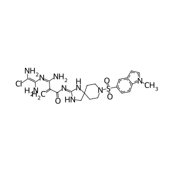 C=C(C(=O)/N=C1\NCC2(CCN(S(=O)(=O)c3ccc4c(ccn4C)c3)CC2)N1)/C(N)=N\C(N)=C(/N)Cl